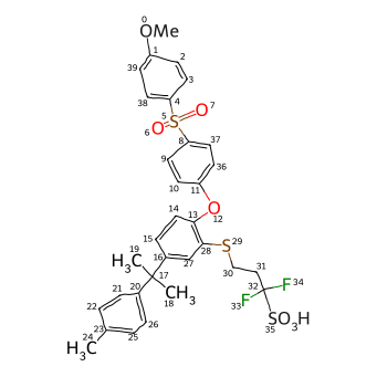 COc1ccc(S(=O)(=O)c2ccc(Oc3ccc(C(C)(C)c4ccc(C)cc4)cc3SCCC(F)(F)S(=O)(=O)O)cc2)cc1